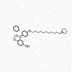 Oc1ccc2c(c1)[C@H](c1ccc(OCCCCCCCCCCCN3CCCC3)cc1)[C@@H](c1ccccc1)CO2